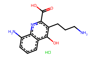 Cl.NCCCc1c(C(=O)O)nc2c(N)cccc2c1O